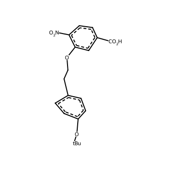 CC(C)(C)Oc1ccc(CCOc2cc(C(=O)O)ccc2[N+](=O)[O-])cc1